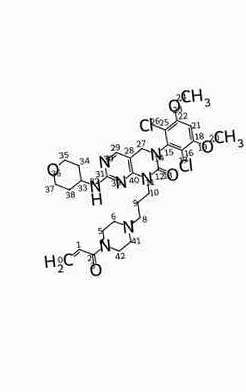 C=CC(=O)N1CCN(CCCN2C(=O)N(c3c(Cl)c(OC)cc(OC)c3Cl)Cc3cnc(NC4CCOCC4)nc32)CC1